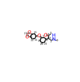 CNCc1c(C)oc2c(Oc3ccc4c(c3)OCO4)cccc12